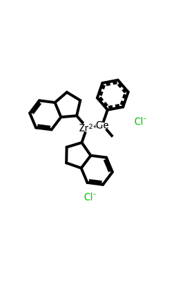 [CH3][Ge]([c]1ccccc1)=[Zr+2]([CH]1CCC2C=CC=CC21)[CH]1CCC2C=CC=CC21.[Cl-].[Cl-]